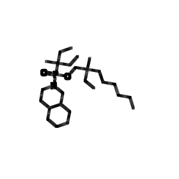 CCCCCCC(C)(CC)COP(=O)(N1CCC2CCCCC2C1)C(C)(CC)CC